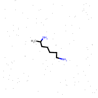 [CH2]C(N)CCCCCN